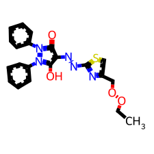 CCOOCc1csc(N=Nc2c(O)n(-c3ccccc3)n(-c3ccccc3)c2=O)n1